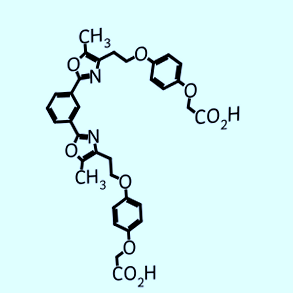 Cc1oc(-c2cccc(-c3nc(CCOc4ccc(OCC(=O)O)cc4)c(C)o3)c2)nc1CCOc1ccc(OCC(=O)O)cc1